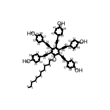 CCCCCCCCCCCOc1c(C#Cc2ccc(O)cc2)c(C#Cc2ccc(O)cc2)c(C#Cc2ccc(O)cc2)c(C#Cc2ccc(O)cc2)c1C#Cc1ccc(O)cc1